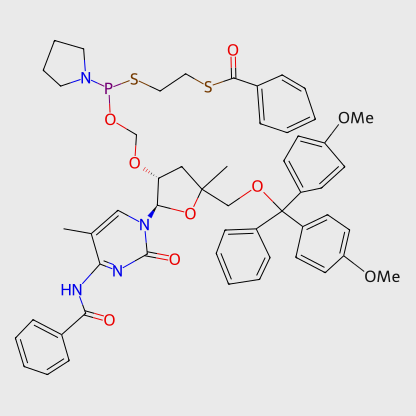 COc1ccc(C(OCC2(C)C[C@@H](OCOP(SCCSC(=O)c3ccccc3)N3CCCC3)[C@H](n3cc(C)c(NC(=O)c4ccccc4)nc3=O)O2)(c2ccccc2)c2ccc(OC)cc2)cc1